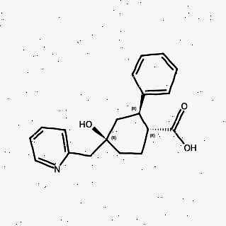 O=C(O)[C@@H]1CC[C@](O)(Cc2ccccn2)C[C@H]1c1ccccc1